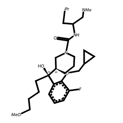 CNCC(CC(C)C)NC(=O)N1CCC[C@@H]([C@@](O)(CCCCOC)c2cccc(F)c2OCC2CC2)C1